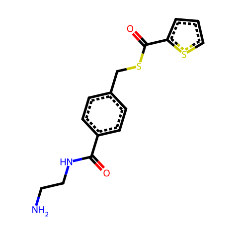 NCCNC(=O)c1ccc(CSC(=O)c2cccs2)cc1